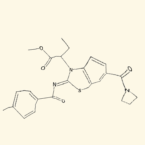 CCC(C(=O)OC)n1c(=NC(=O)c2ccc(C)cc2)sc2cc(C(=O)N3CCC3)ccc21